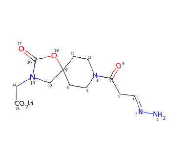 NN=CCC(=O)N1CCC2(CC1)CN(CC(=O)O)C(=O)O2